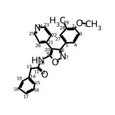 COc1ccc(-c2noc(NC(=O)Cc3ccccc3)c2-c2ccncc2)cc1C